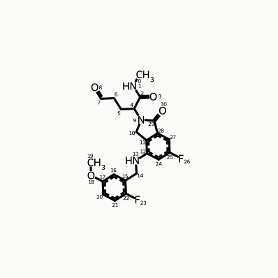 CNC(=O)C(CCC=O)N1Cc2c(NCc3cc(OC)ccc3F)cc(F)cc2C1=O